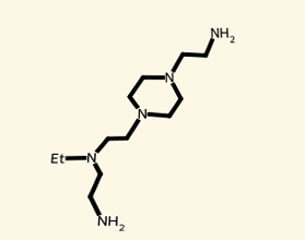 CCN(CCN)CCN1CCN(CCN)CC1